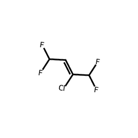 FC(F)C=C(Cl)C(F)F